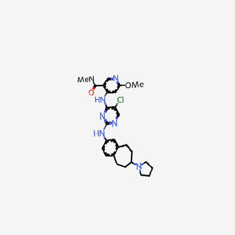 CNC(=O)c1cnc(OC)cc1Nc1nc(Nc2ccc3c(c2)CCC(N2CCCC2)CC3)ncc1Cl